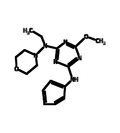 CCN(c1nc(Nc2ccccc2)nc(OC)n1)N1CCOCC1